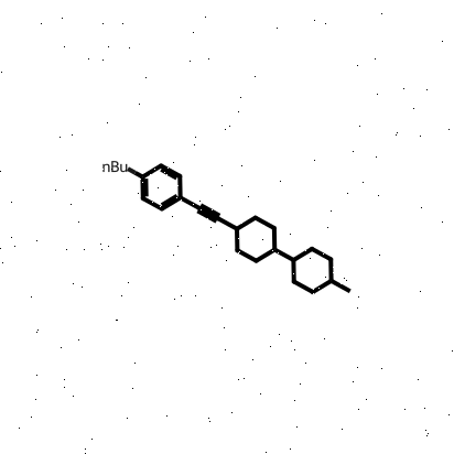 CCCCc1ccc(C#CC2CCC(C3CCC(C)CC3)CC2)cc1